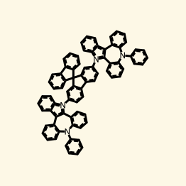 c1ccc(N2c3ccccc3-c3c(n(-c4ccc5c(c4)C4(c6ccccc6-c6ccccc64)c4cc(-n6c7c(c8ccccc86)-c6ccccc6N(c6ccccc6)c6ccccc6-7)ccc4-5)c4ccccc34)-c3ccccc32)cc1